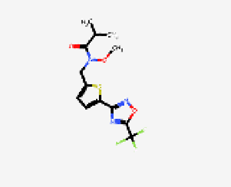 CON(Cc1ccc(-c2noc(C(F)(F)F)n2)s1)C(=O)C(C)C